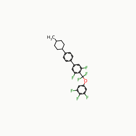 CC1CCC(c2ccc(-c3cc(F)c(C(F)(F)Oc4cc(F)c(F)c(F)c4)c(F)c3)cc2)CC1